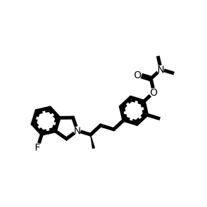 Cc1cc(CC[C@@H](C)N2Cc3cccc(F)c3C2)ccc1OC(=O)N(C)C